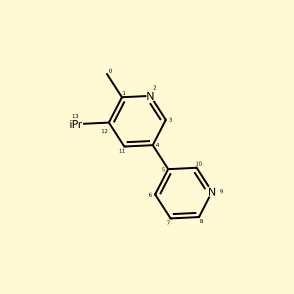 Cc1ncc(-c2cccnc2)cc1C(C)C